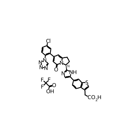 O=C(O)C(F)(F)F.O=C(O)Cc1csc2cc(-c3cnc([C@@H]4CCc5cc(-c6cc(Cl)ccc6-n6cnnn6)cc(=O)n54)[nH]3)ccc12